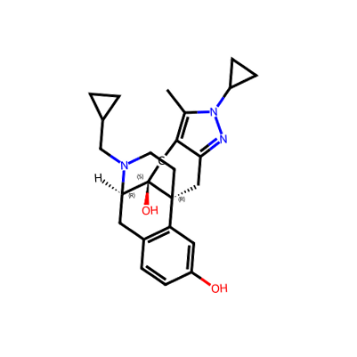 Cc1c2c(nn1C1CC1)C[C@]13CCN(CC4CC4)[C@H](Cc4ccc(O)cc41)[C@]3(O)C2